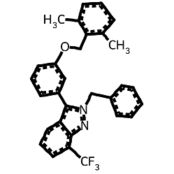 Cc1cccc(C)c1COc1cccc(-c2c3cccc(C(F)(F)F)c3nn2Cc2ccccc2)c1